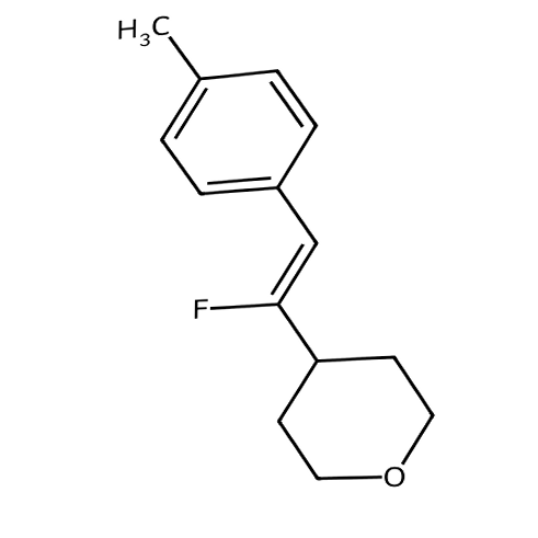 Cc1ccc(/C=C(\F)C2CCOCC2)cc1